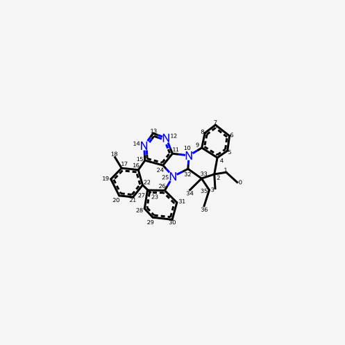 CCC1(C)c2ccccc2N2c3ncnc(-c4c(C)cccc4C)c3N(c3ccccc3)C2C1(C)CC